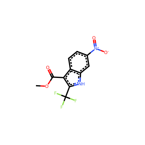 COC(=O)c1c(C(F)(F)F)[nH]c2cc([N+](=O)[O-])ccc12